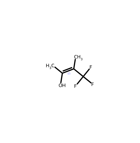 C/C(O)=C(\C)C(F)(F)F